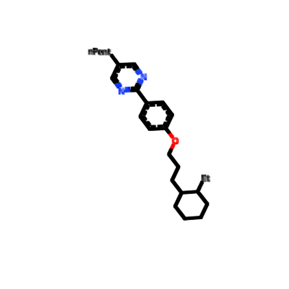 CCCCCc1cnc(-c2ccc(OCCCC3CCCCC3CC)cc2)nc1